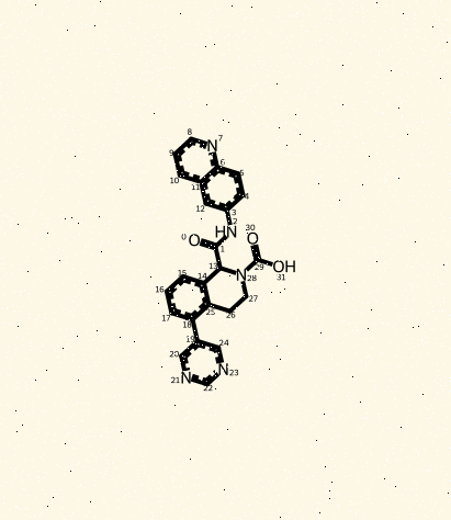 O=C(Nc1ccc2ncccc2c1)C1c2cccc(-c3cncnc3)c2CCN1C(=O)O